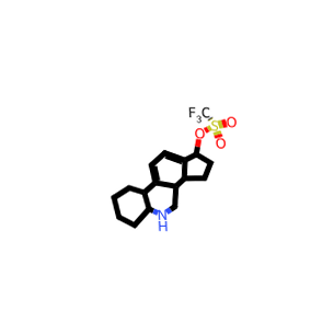 O=S(=O)(OC1CCC2C1=CC=C1C3CCCCC3NCC12)C(F)(F)F